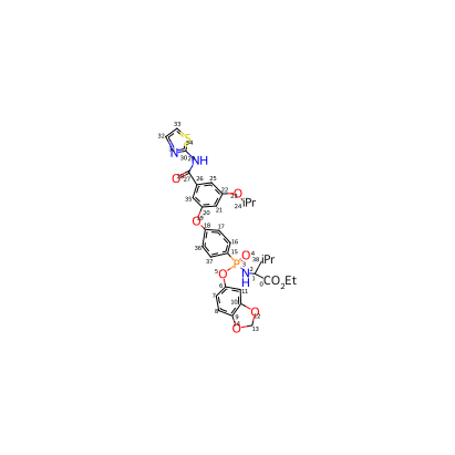 CCOC(=O)C(NP(=O)(Oc1ccc2c(c1)OCO2)c1ccc(Oc2cc(OC(C)C)cc(C(=O)Nc3nccs3)c2)cc1)C(C)C